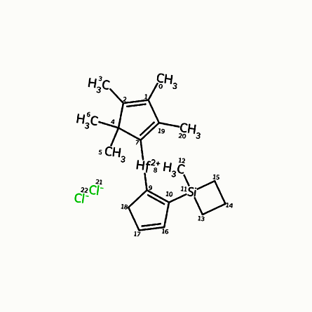 CC1=C(C)C(C)(C)[C]([Hf+2][C]2=C([Si]3(C)CCC3)C=CC2)=C1C.[Cl-].[Cl-]